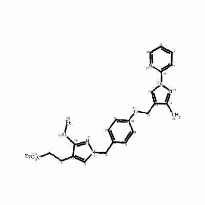 CCOC(=O)CCc1cn(Cc2ccc(OCc3cn(-c4ccccn4)nc3C)cc2)nc1OCC